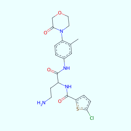 Cc1cc(NC(=O)C(CCN)NC(=O)c2ccc(Cl)s2)ccc1N1CCOCC1=O